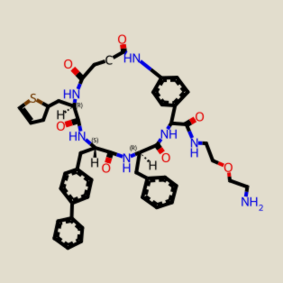 NCCOCCNC(=O)C1NC(=O)[C@@H](Cc2ccccc2)NC(=O)[C@H](Cc2ccc(-c3ccccc3)cc2)NC(=O)[C@@H](CC2CC=CS2)NC(=O)CCC(=O)Nc2ccc1cc2